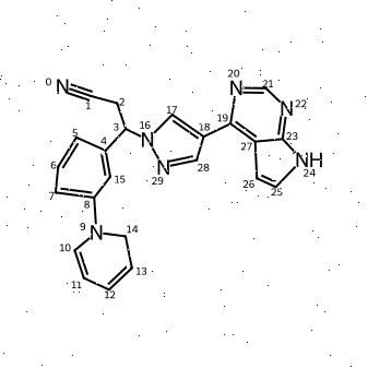 N#CCC(c1cccc(N2C=CC=CC2)c1)n1cc(-c2ncnc3[nH]ccc23)cn1